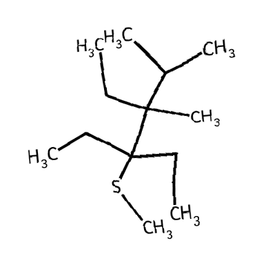 CCC(CC)(SC)C(C)(CC)C(C)C